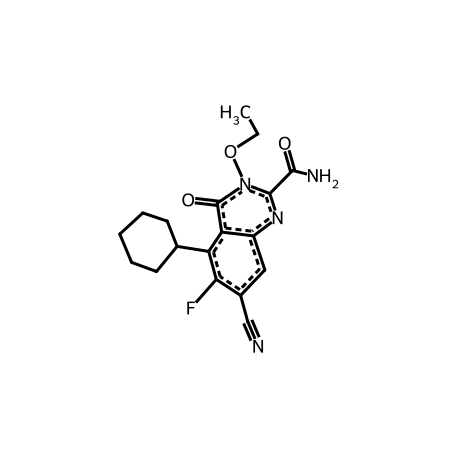 CCOn1c(C(N)=O)nc2cc(C#N)c(F)c(C3CCCCC3)c2c1=O